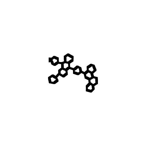 c1ccc(-c2ccc3c(-c4ccc(-c5cc6c7ccccc7ccc6c6ccccc56)cc4)c4ccccc4c(-c4ccncc4)c3c2)cc1